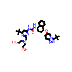 CC(C)(C)c1cc(NC(=O)N[C@H]2CC[C@@H](Oc3ccc4nnc(C(C)(C)C)n4c3)c3ccccc32)nc(CN(CCO)CCO)n1